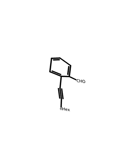 CCCCCCC#Cc1ccccc1C=O